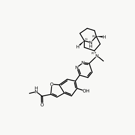 CNC(=O)c1cc2cc(O)c(-c3ccc(N(C)[C@H]4C[C@H]5CCC[C@@H](C4)N5)nn3)cc2o1